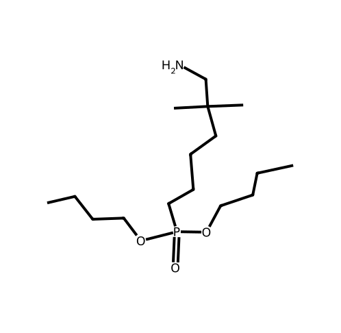 CCCCOP(=O)(CCCCC(C)(C)CN)OCCCC